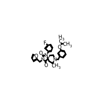 CC(C)Oc1cccc(CN2CC[C@@]3(C[C@@H]2C)C(=O)N(Cc2ccco2)C(=O)N3c2cccc(F)c2)c1